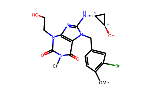 CCn1c(=O)c2c(nc(N[C@@H]3C[C@H]3O)n2Cc2ccc(OC)c(Br)c2)n(CCO)c1=O